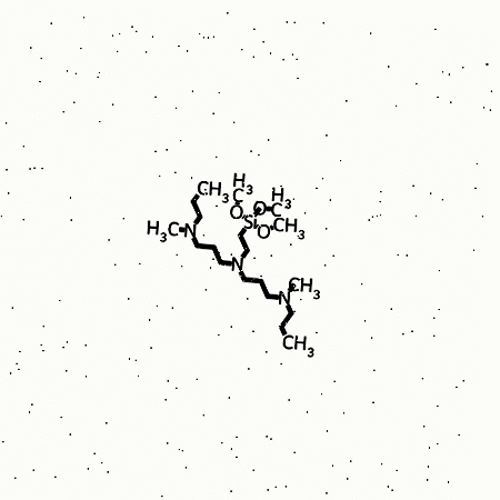 CCCN(C)CCCN(CCCN(C)CCC)CC[Si](OC)(OC)OC